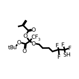 C=C(C)C(=O)OC(OCCCCC(F)(F)C(F)(F)S)(C(=O)OC(C)(C)C)C(F)(F)F